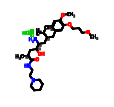 COCCCOc1cc(C[C@@H](C[C@H](N)[C@@H](O)C[C@@H](C)C(=O)NCCN2CCCCC2)C(C)C)ccc1OC.Cl.Cl